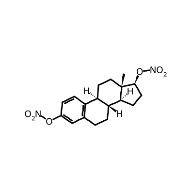 C[C@]12CC[C@@H]3c4ccc(O[N+](=O)[O-])cc4CC[C@H]3[C@@H]1CC[C@@H]2O[N+](=O)[O-]